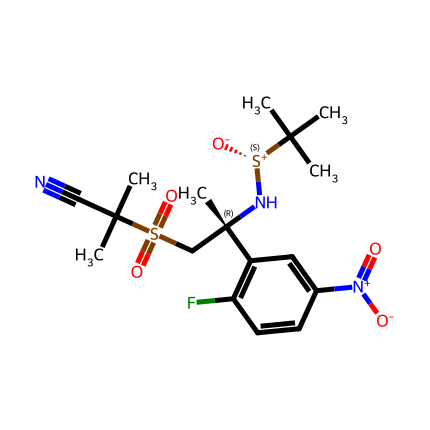 CC(C)(C)[S@@+]([O-])N[C@@](C)(CS(=O)(=O)C(C)(C)C#N)c1cc([N+](=O)[O-])ccc1F